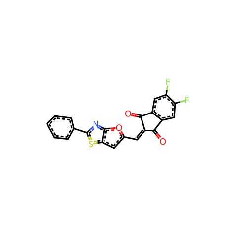 O=C1C(=Cc2cc3sc(-c4ccccc4)nc3o2)C(=O)c2cc(F)c(F)cc21